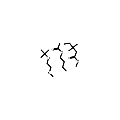 CCC(C)(C)CC(=O)OC.CCCCOC(C)=O.COCCOC(C)(C)C